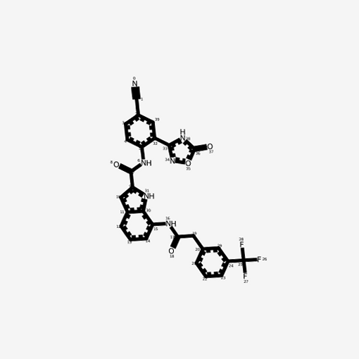 N#Cc1ccc(NC(=O)c2cc3cccc(NC(=O)Cc4cccc(C(F)(F)F)c4)c3[nH]2)c(-c2noc(=O)[nH]2)c1